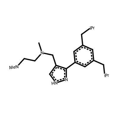 CNCCN(C)Cc1c[nH]nc1-c1cc(CC(C)C)cc(CC(C)C)c1